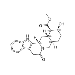 COC(=O)[C@@H]1[C@H]2C[C@H]3c4[nH]c5ccccc5c4CC(=O)N3C[C@@H]2CC[C@@H]1O